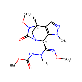 CN(NC(=O)OC(C)(C)C)C(=NOS(=O)(=O)O)[C@@H]1c2c(cnn2C)[C@@H]2CN1C(=O)N2OS(=O)(=O)O